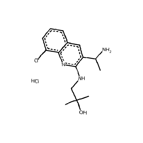 CC(N)c1cc2cccc(Cl)c2nc1NCC(C)(C)O.Cl